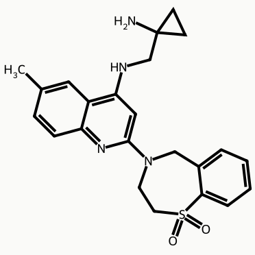 Cc1ccc2nc(N3CCS(=O)(=O)c4ccccc4C3)cc(NCC3(N)CC3)c2c1